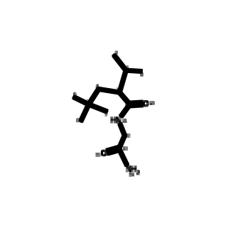 CC(C)C(CC(C)(C)C)C(=O)NCC(N)=O